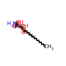 CCCCCCCCCCCCCCCCCC(=O)OCC(O)COC(P=O)C(N)O